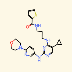 O=C(NCCCNc1nc(Nc2ccc(N3CCOCC3)nc2)ncc1C1CC1)c1cccs1